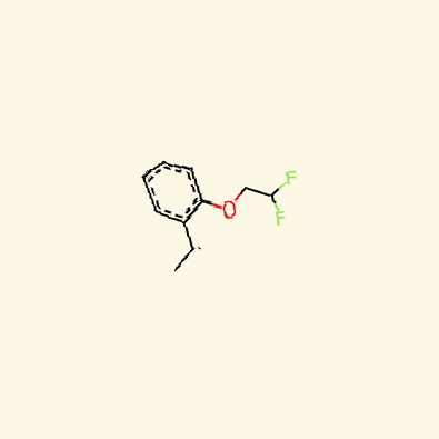 C[CH]c1ccccc1OCC(F)F